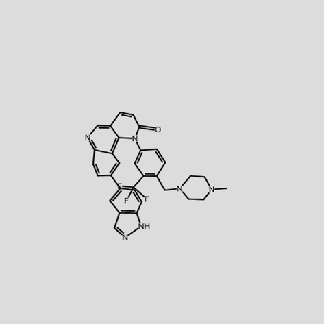 CN1CCN(Cc2ccc(-n3c(=O)ccc4cnc5ccc(-c6ccc7[nH]ncc7c6)cc5c43)cc2C(F)(F)F)CC1